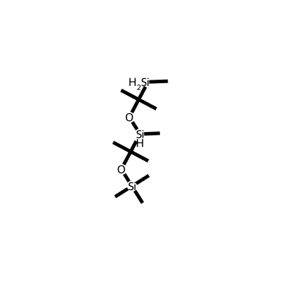 C[SiH2]C(C)(C)O[SiH](C)C(C)(C)O[Si](C)(C)C